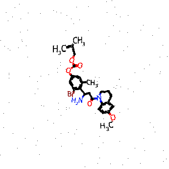 COc1ccc2c(c1)CCCN2C(=O)CC(N)c1c(C)cc(OC(=O)OCC(C)C)cc1Br